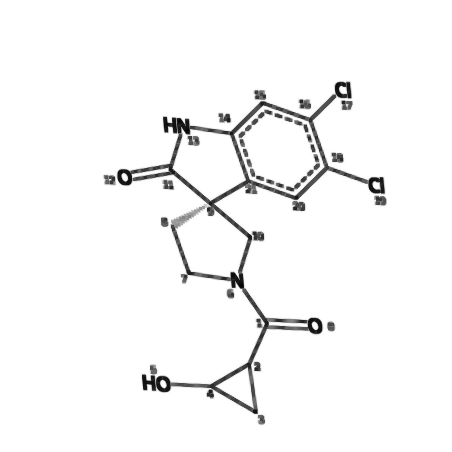 O=C(C1CC1O)N1CC[C@]2(C1)C(=O)Nc1cc(Cl)c(Cl)cc12